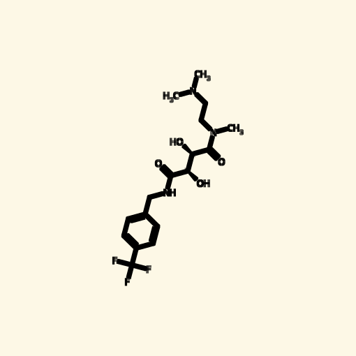 CN(C)CCN(C)C(=O)[C@H](O)[C@@H](O)C(=O)NCc1ccc(C(F)(F)F)cc1